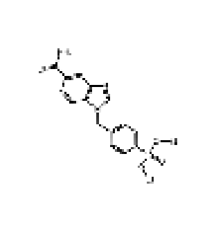 CCOP(=O)(OCC)c1ccc(Cn2cnc3cc(C(N)=O)ccc32)cc1